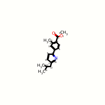 COC(=O)c1ccc(-c2ccc(CC(C)C)cn2)cc1C